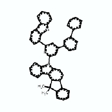 CC1(C)c2ccccc2-c2ccc3c(c21)c1ccccc1n3-c1cc(-c2cccc(-c3ccccc3)c2)cc(-c2cccc3c2sc2ccccc23)n1